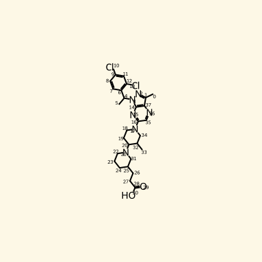 Cc1nn(C(C)c2ccc(Cl)cc2Cl)c2nc(N3CCC(N4CCCC(CCC(=O)O)C4)C(C)C3)cnc12